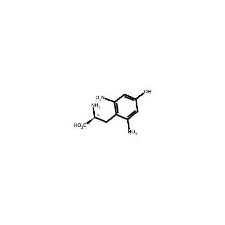 N[C@@H](Cc1c([N+](=O)[O-])cc(O)cc1[N+](=O)[O-])C(=O)O